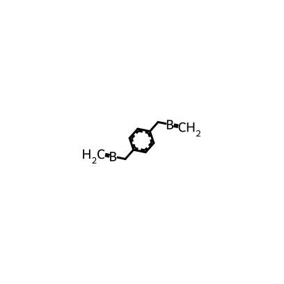 C=BCc1ccc(CB=C)cc1